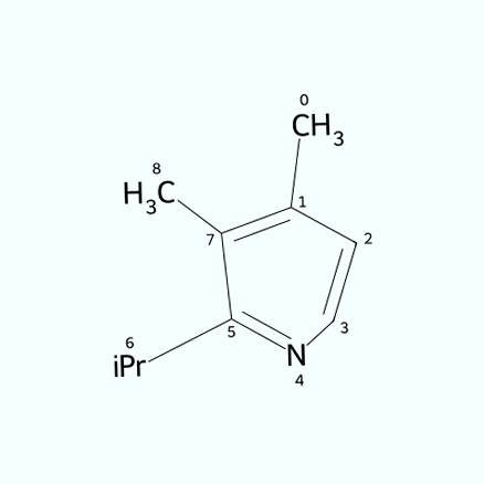 Cc1ccnc(C(C)C)c1C